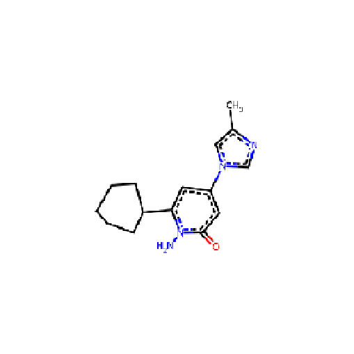 Cc1cn(-c2cc(C3CCCCC3)n(N)c(=O)c2)cn1